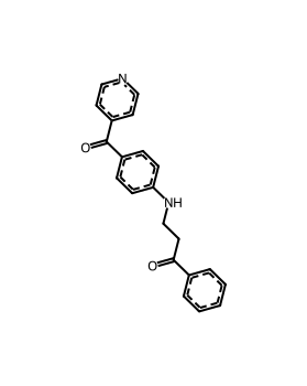 O=C(CCNc1ccc(C(=O)c2ccncc2)cc1)c1ccccc1